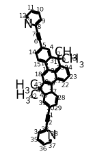 CC1(C)c2cc(C#Cc3ccccn3)ccc2-c2cc3c(c4cccc1c24)C1C=CC(C#Cc2ccccn2)=CC1C3(C)C